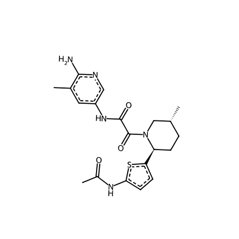 CC(=O)Nc1ccc([C@@H]2CC[C@@H](C)CN2C(=O)C(=O)Nc2cnc(N)c(C)c2)s1